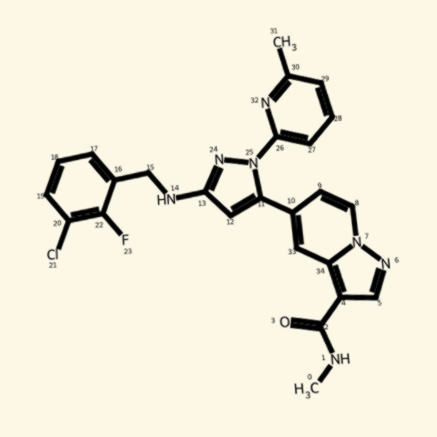 CNC(=O)c1cnn2ccc(-c3cc(NCc4cccc(Cl)c4F)nn3-c3cccc(C)n3)cc12